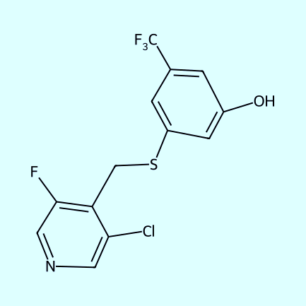 Oc1cc(SCc2c(F)cncc2Cl)cc(C(F)(F)F)c1